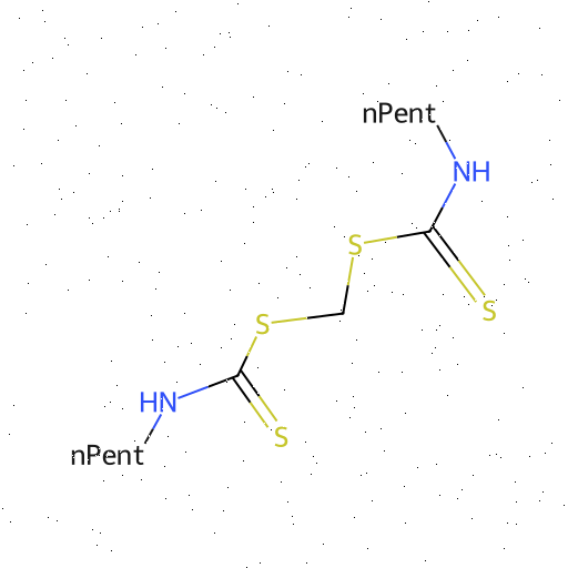 CCCCCNC(=S)SCSC(=S)NCCCCC